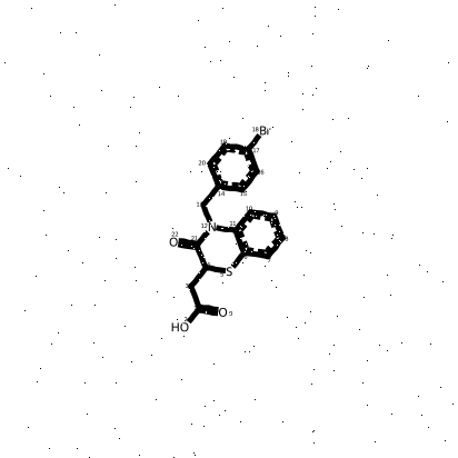 O=C(O)CC1Sc2ccccc2N(Cc2ccc(Br)cc2)C1=O